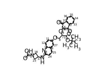 CC(C)(C)OC(=O)C(COc1ccc2nc(NC3CN(C(=O)O)C3)ccc2c1)ON1C(=O)c2ccccc2C1=O